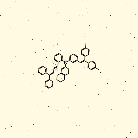 Cc1ccc(C(=Cc2cccc(N(c3ccc4c(c3)CCCC4)c3ccccc3/C=C/C=C(c3ccccc3)c3ccccc3)c2)c2ccc(C)cc2)cc1